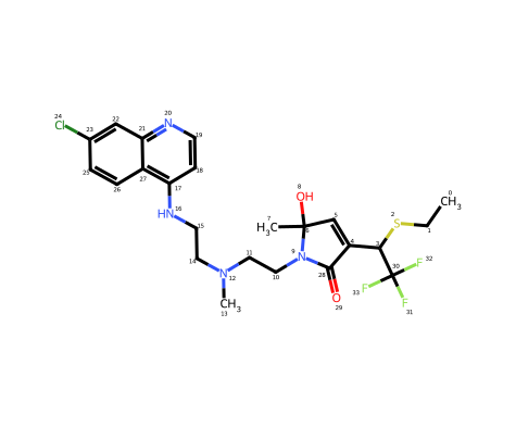 CCSC(C1=CC(C)(O)N(CCN(C)CCNc2ccnc3cc(Cl)ccc23)C1=O)C(F)(F)F